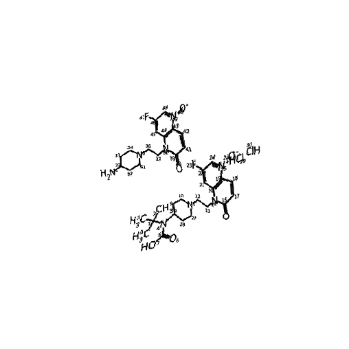 CC(C)(C)N(C(=O)O)C1CCN(CCn2c(=O)ccc3c2cc(F)c[n+]3[O-])CC1.Cl.Cl.NC1CCN(CCn2c(=O)ccc3c2cc(F)c[n+]3[O-])CC1